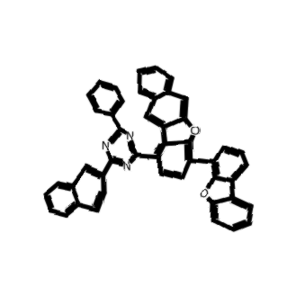 c1ccc(-c2nc(-c3ccc4ccccc4c3)nc(-c3ccc(-c4cccc5c4oc4ccccc45)c4oc5cc6ccccc6cc5c34)n2)cc1